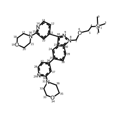 C[Si](C)(C)CCOCn1nc(-c2ccnc(N3CCOCC3)c2)c2cc(-c3ccnc(N4CCOCC4)c3)ccc21